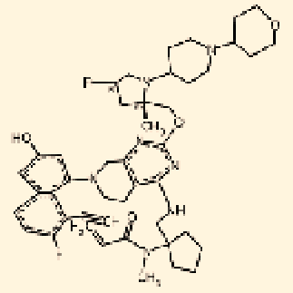 C#Cc1c(F)ccc2cc(O)cc(N3CCc4c(nc(OC[C@]5(C)C[C@@H](F)CN5C5CCN(C6CCOCC6)CC5)nc4NCC4(N(C)C(=O)C=C)CCCC4)C3)c12